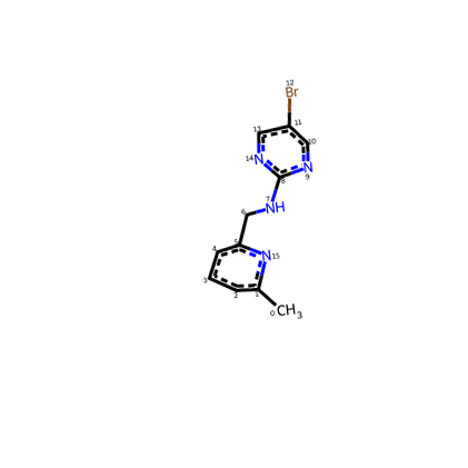 Cc1cccc(CNc2ncc(Br)cn2)n1